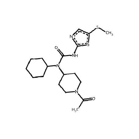 CSc1cnc(NC(=O)N(C2CCCCC2)C2CCN(C(C)=O)CC2)s1